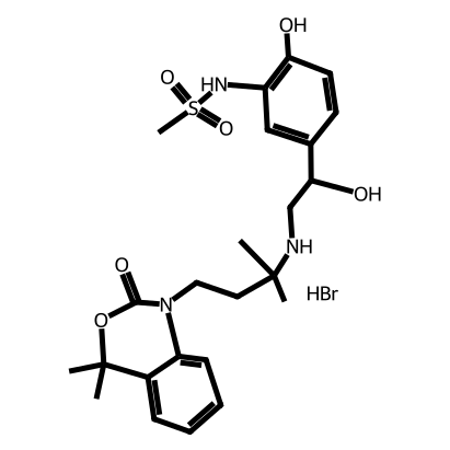 Br.CC(C)(CCN1C(=O)OC(C)(C)c2ccccc21)NCC(O)c1ccc(O)c(NS(C)(=O)=O)c1